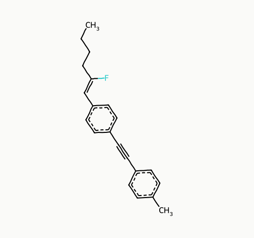 CCCCC(F)=Cc1ccc(C#Cc2ccc(C)cc2)cc1